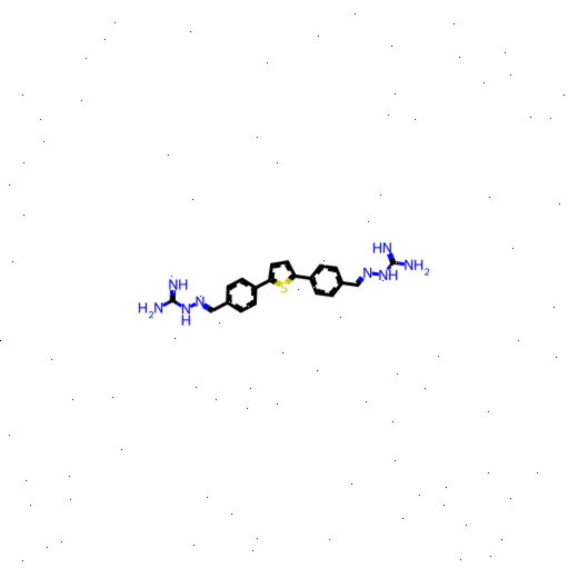 N=C(N)N/N=C/c1ccc(-c2ccc(-c3ccc(/C=N/NC(=N)N)cc3)s2)cc1